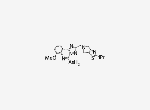 COc1cccc2c1nc([AsH2])n1nc(CN3Cc4nc(C(C)C)sc4C3)nc21